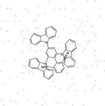 N#Cc1cccc(C#N)c1-c1c(-n2c3ccccc3c3ccccc32)cc(-n2c3ccccc3c3ccccc32)cc1-n1c2ccccc2c2ccccc21